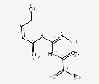 C=C(/C=C\CC)C/C(=N/C)NC(=C)C(N)=O